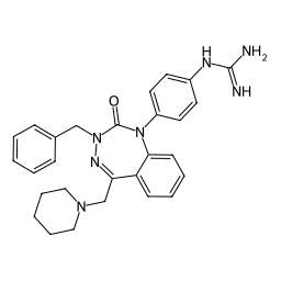 N=C(N)Nc1ccc(N2C(=O)N(Cc3ccccc3)N=C(CN3CCCCC3)c3ccccc32)cc1